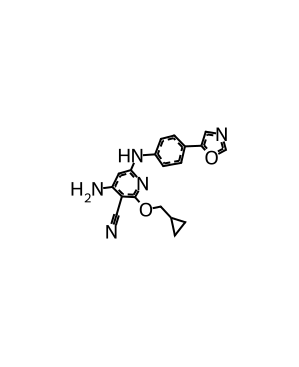 N#Cc1c(N)cc(Nc2ccc(-c3cnco3)cc2)nc1OCC1CC1